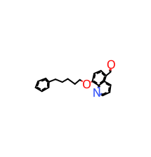 O=Cc1ccc(OCCCCCc2ccccc2)c2ncccc12